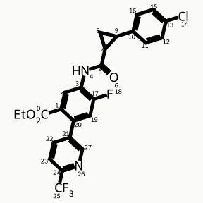 CCOC(=O)c1cc(NC(=O)C2CC2c2ccc(Cl)cc2)c(F)cc1-c1ccc(C(F)(F)F)nc1